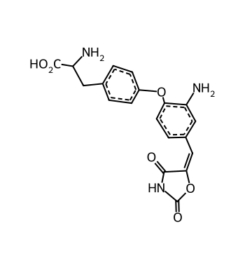 Nc1cc(C=C2OC(=O)NC2=O)ccc1Oc1ccc(CC(N)C(=O)O)cc1